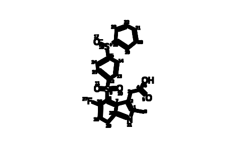 CC1=C(CC(=O)O)C2=C(S(=O)(=O)c3ccc([S+]([O-])c4ccccc4)cc3)C(F)=CCC2=N1